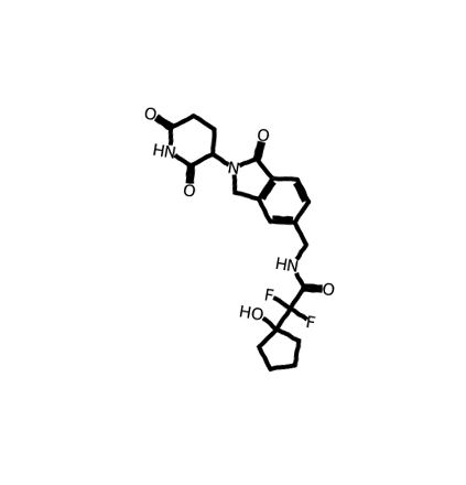 O=C1CCC(N2Cc3cc(CNC(=O)C(F)(F)C4(O)CCCC4)ccc3C2=O)C(=O)N1